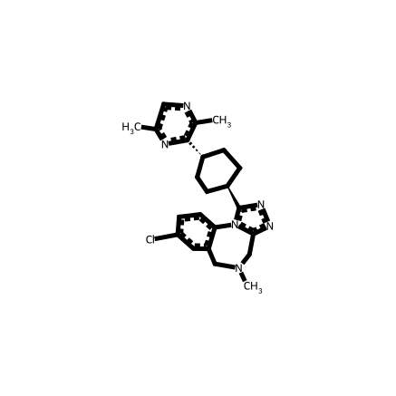 Cc1cnc(C)c([C@H]2CC[C@H](c3nnc4n3-c3ccc(Cl)cc3CN(C)C4)CC2)n1